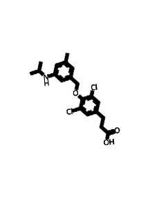 Cc1cc(COc2c(Cl)cc(CCC(=O)O)cc2Cl)cc(NC(C)C)c1